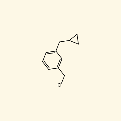 ClCc1cccc(CC2CC2)c1